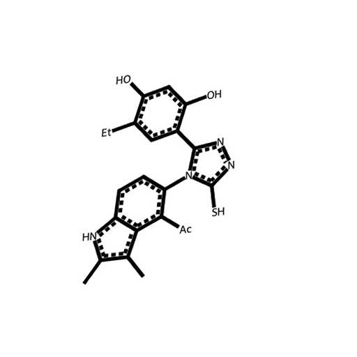 CCc1cc(-c2nnc(S)n2-c2ccc3[nH]c(C)c(C)c3c2C(C)=O)c(O)cc1O